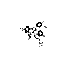 CC(C)(C)c1ccc(C2=N[C@@H](c3ccc(Cl)cc3)[C@@H](c3ccc(Cl)cc3)N2C(=O)N2CCN(CCS(C)(=O)=O)CC2)c(OCCF)c1.Cl